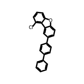 Clc1cccc2oc3ccc(-c4ccc(-c5ccccc5)cc4)cc3c12